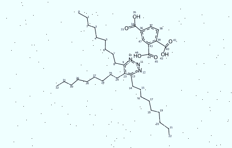 CCCCCCCCCc1nnnc(CCCCCCCCC)c1CCCCCCCCC.O=C(O)c1ccc(C(=O)O)c(C(=O)O)c1